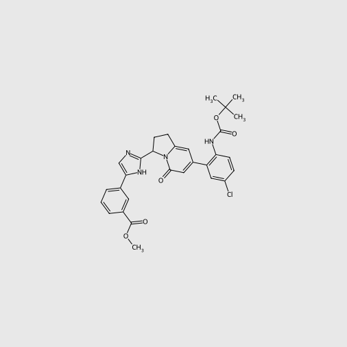 COC(=O)c1cccc(-c2cnc(C3CCc4cc(-c5cc(Cl)ccc5NC(=O)OC(C)(C)C)cc(=O)n43)[nH]2)c1